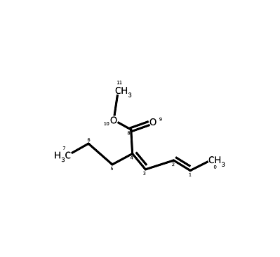 CC=CC=C(CCC)C(=O)OC